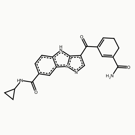 NC(=O)C1=CC(C(=O)c2cnn3c2[nH]c2ccc(C(=O)NC4CC4)cc23)=CCC1